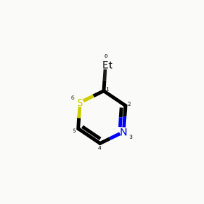 CCC1C=NC=CS1